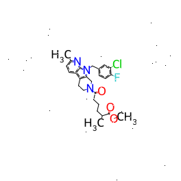 COC(=O)C(C)CCCC(=O)N1CCc2c(n(Cc3ccc(F)c(Cl)c3)c3nc(C)ccc23)C1